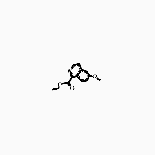 CCOC(=O)c1nccc2cc(OC)ccc12